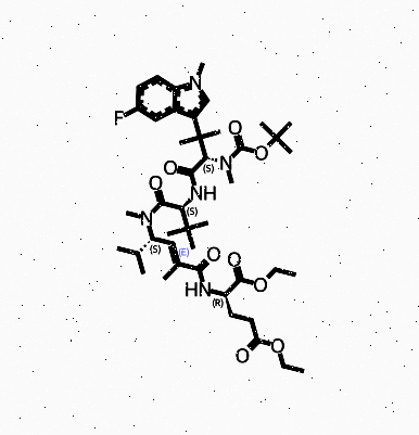 CCOC(=O)CC[C@@H](NC(=O)/C(C)=C/[C@H](C(C)C)N(C)C(=O)[C@@H](NC(=O)[C@@H](N(C)C(=O)OC(C)(C)C)C(C)(C)c1cn(C)c2ccc(F)cc12)C(C)(C)C)C(=O)OCC